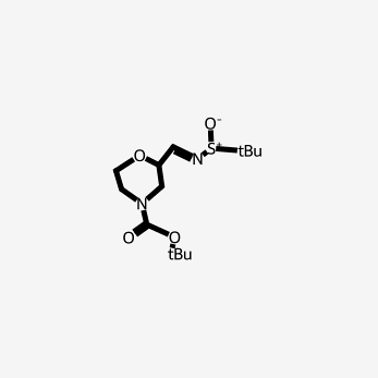 CC(C)(C)OC(=O)N1CCOC(C=N[S+]([O-])C(C)(C)C)C1